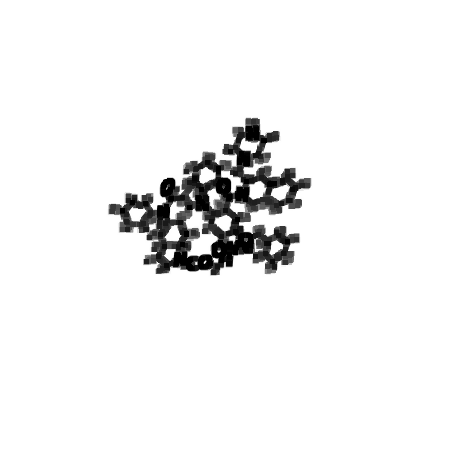 COc1cc(-n2cc(C(=O)N(c3ccccc3)c3ccc4c(ccn4C(=O)O)c3)c3ccccc32)c(C(=O)N2Cc3ccccc3C[C@H]2CN2CCN(C)CC2)cc1OCc1ccccc1